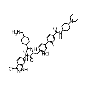 CCN(CC)C1CCC(NC(=O)c2ccc(-c3ccc(C[C@H](NC(=O)C4CCC(CN)CC4)C(=O)Nc4ccc5c(Cl)n[nH]c5c4)cc3)c(C)c2)CC1.Cl